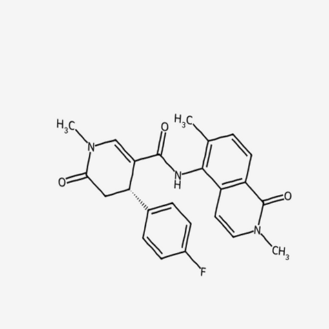 Cc1ccc2c(=O)n(C)ccc2c1NC(=O)C1=CN(C)C(=O)C[C@H]1c1ccc(F)cc1